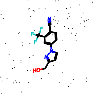 N#Cc1ccc(-n2ccc(CO)n2)cc1C(F)(F)F